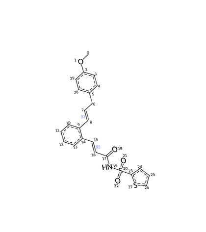 COc1ccc(C/C=C/c2ccccc2/C=C/C(=O)NS(=O)(=O)c2cccs2)cc1